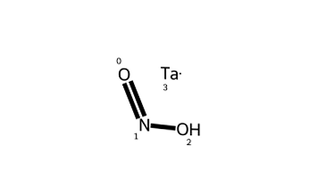 O=NO.[Ta]